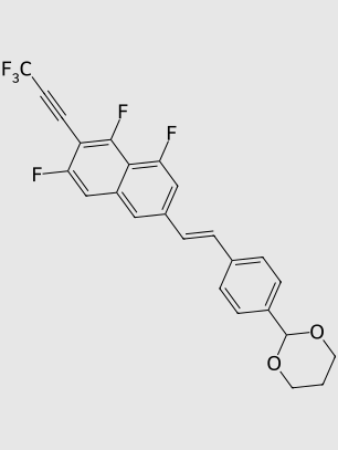 Fc1cc2cc(/C=C/c3ccc(C4OCCCO4)cc3)cc(F)c2c(F)c1C#CC(F)(F)F